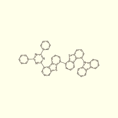 c1ccc(-c2nc(-c3ccccc3)nc(-c3cccc4sc5c(-c6cccc7c6sc6cccc(-n8c9ccccc9c9ccccc98)c67)cccc5c34)n2)cc1